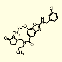 CCCN(CC1CCC(=O)N1C)C(=O)c1cc(OC)c2oc(NCc3cccc(Cl)c3)nc2c1